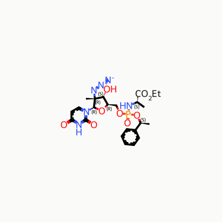 CCOC(=O)[C@H](C)NP(=O)(OC[C@H]1O[C@@H](n2ccc(=O)[nH]c2=O)[C@](C)(N=[N+]=[N-])[C@@H]1O)O[C@@H](C)c1ccccc1